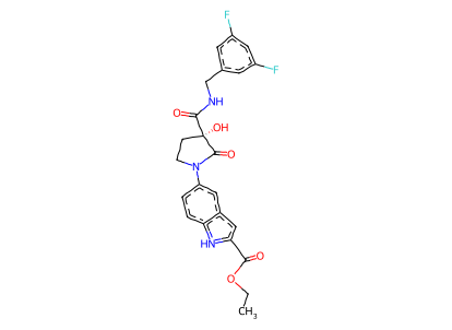 CCOC(=O)c1cc2cc(N3CC[C@@](O)(C(=O)NCc4cc(F)cc(F)c4)C3=O)ccc2[nH]1